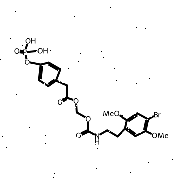 COc1cc(CCNC(=O)OCOC(=O)Cc2ccc(OP(=O)(O)O)cc2)c(OC)cc1Br